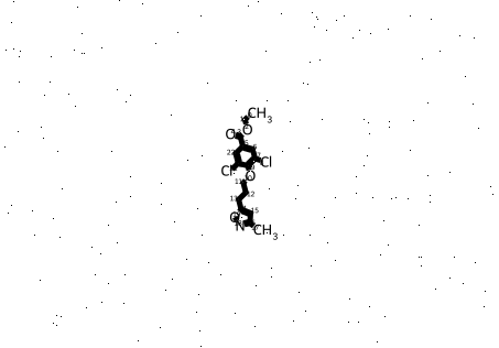 CCOC(=O)c1cc(Cl)c(OCCCc2cc(C)no2)c(Cl)c1